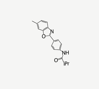 Cc1ccc2nc(-c3ccc(NC(=O)C(C)C)cc3)oc2c1